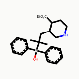 CCOC(=O)C1CCNC[C@H]1CC(C)(C)[Si](O)(c1ccccc1)c1ccccc1